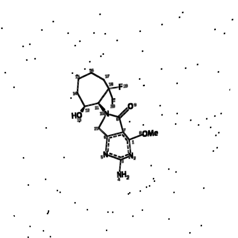 COc1nc(N)nc2c1C(=O)N([C@H]1[C@@H](O)CCCCC1(F)F)C2